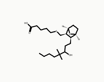 CCCCC(C)(C)C(O)CC[C@H]1[C@@H](CSCCCCC(=O)O)[C@H]2CC[C@@H]1O2